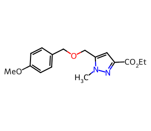 CCOC(=O)c1cc(COCc2ccc(OC)cc2)n(C)n1